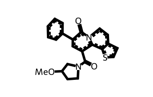 COC1CCN(C(=O)c2cc(-c3ccccc3)c(=O)n3ccc4ccsc4c23)C1